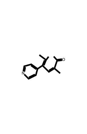 CC(=O)/C(C)=C\C(=C(C)C)c1ccncc1